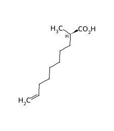 C=CCCCCCC[C@@H](C)C(=O)O